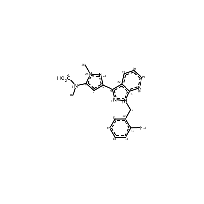 CN(C(=O)O)c1cc(-c2nn(Cc3ccccc3F)c3ncccc23)nn1C